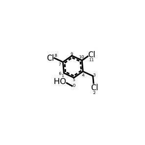 CO.ClCc1ccc(Cl)cc1Cl